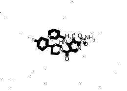 Cc1c(S(N)(=O)=O)ncc(C(=O)N2CCC(c3ccc(F)cc3)CC2)c1NCc1cccnc1